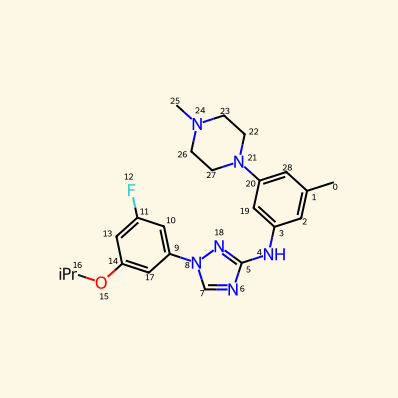 Cc1cc(Nc2ncn(-c3cc(F)cc(OC(C)C)c3)n2)cc(N2CCN(C)CC2)c1